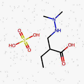 CCC(CNN(C)C)C(=O)O.O=S(=O)(O)O